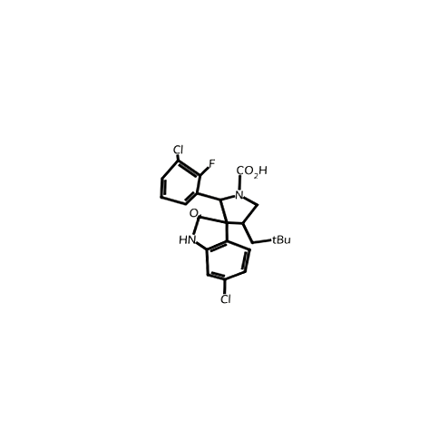 CC(C)(C)CC1CN(C(=O)O)C(c2cccc(Cl)c2F)C12C(=O)Nc1cc(Cl)ccc12